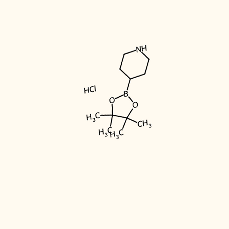 CC1(C)OB(C2CCNCC2)OC1(C)C.Cl